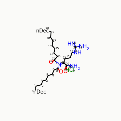 CCCCCCCCCCCCCCCCCC(=O)N(C(=O)CCCCCCCCCCCCCCCCC)[C@@H](CCCNC(=N)N)C(N)=O.Cl